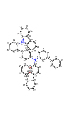 c1ccc(-c2cccc(N(c3ccc4c(c3)Cc3ccccc3-4)c3ccc(-c4ccccc4-n4c5ccccc5c5ccccc54)cc3-c3ccccc3)c2)cc1